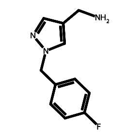 NCc1cnn(Cc2ccc(F)cc2)c1